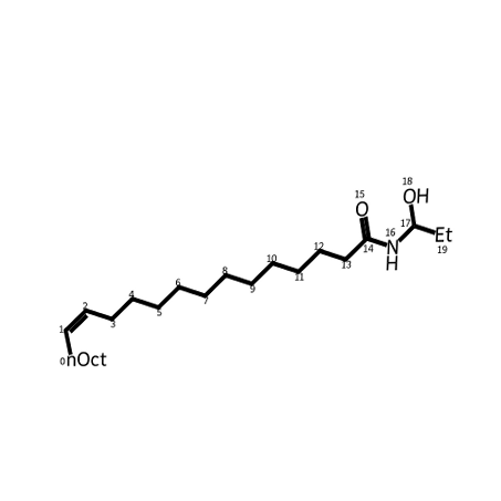 CCCCCCCC/C=C\CCCCCCCCCCCC(=O)NC(O)CC